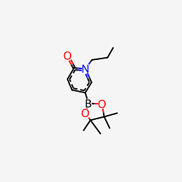 CCCn1cc(B2OC(C)(C)C(C)(C)O2)ccc1=O